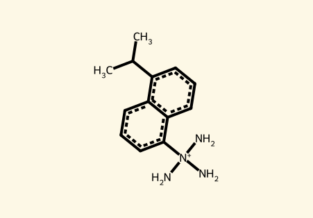 CC(C)c1cccc2c([N+](N)(N)N)cccc12